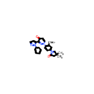 COc1cc(N2CC(C)(C)CC2=O)ccc1-n1ccc(=O)c(-c2ccnn2-c2ccccc2)n1